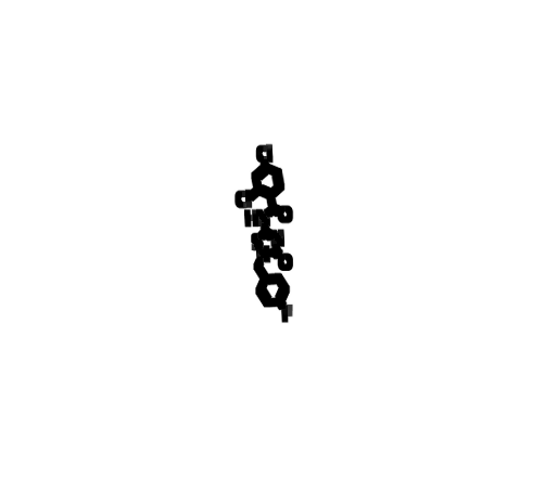 O=C(Nc1nc(=O)n(Cc2ccc(F)cc2)s1)c1ccc(Cl)cc1Cl